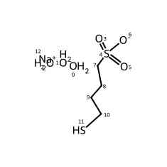 O.O.O.O=S(=O)([O-])CCCCS.[Na+]